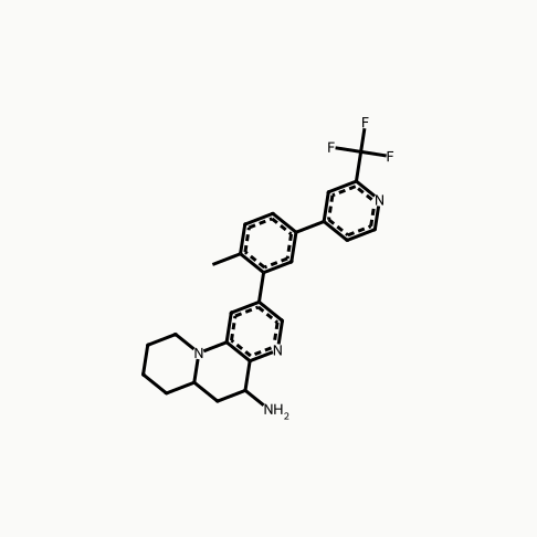 Cc1ccc(-c2ccnc(C(F)(F)F)c2)cc1-c1cnc2c(c1)N1CCCCC1CC2N